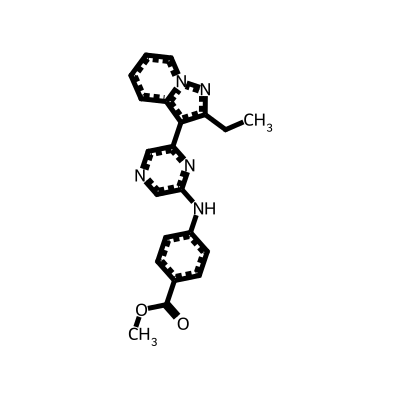 CCc1nn2ccccc2c1-c1cncc(Nc2ccc(C(=O)OC)cc2)n1